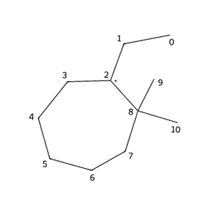 CC[C]1CCCCCC1(C)C